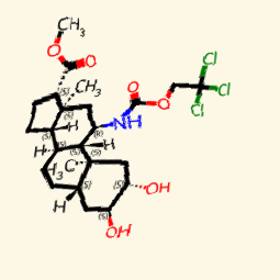 COC(=O)[C@H]1CC[C@H]2[C@@H]3CC[C@H]4C[C@H](O)[C@@H](O)C[C@]4(C)[C@H]3[C@H](NC(=O)OCC(Cl)(Cl)Cl)C[C@]12C